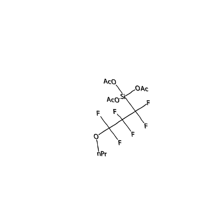 CCCOC(F)(F)C(F)(F)C(F)(F)[Si](OC(C)=O)(OC(C)=O)OC(C)=O